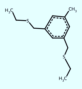 CCSCc1cc(C)cc(CSCC)c1